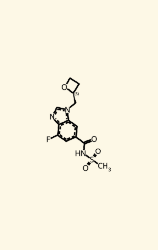 CS(=O)(=O)NC(=O)c1cc(F)c2ncn(C[C@@H]3CCO3)c2c1